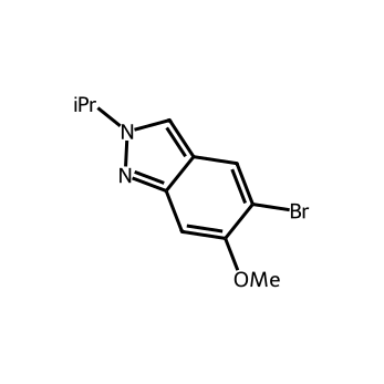 COc1cc2nn(C(C)C)cc2cc1Br